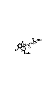 COC(=O)C[C@H](NC(=O)CNC(=O)OC(C)(C)C)c1cc(Cl)ccc1F